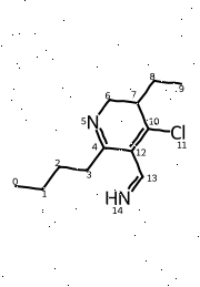 CCCCC1=NCC(CC)C(Cl)=C1C=N